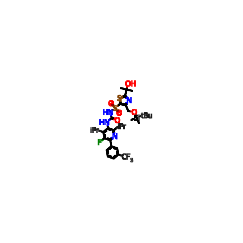 CC(C)c1nc(-c2cccc(C(F)(F)F)c2)c(F)c(C(C)C)c1NC(=O)NS(=O)(=O)c1sc(C(C)(C)O)nc1CO[Si](C)(C)C(C)(C)C